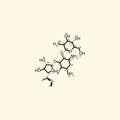 C=S=C(C)[C@H]1O[C@@H](OC2C(O)[C@H](N)CC(N)[C@@H]2O[C@H]2OC(CO)[C@@H](O)C(O)C2N)[C@@H](O)C1O